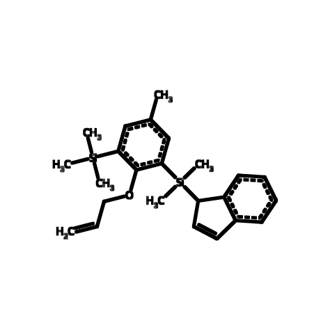 C=CCOc1c([Si](C)(C)C)cc(C)cc1[Si](C)(C)C1C=Cc2ccccc21